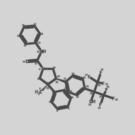 C[C@]1(c2ccccc2)CN(C(=O)Nc2ccccc2)C[C@H]1c1ccc(C(O)(C(F)(F)F)C(F)(F)F)cc1